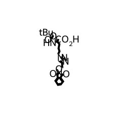 CC(C)(C)OC(=O)NC(CCCCn1cc(CON2C(=O)c3ccccc3C2=O)nn1)C(=O)O